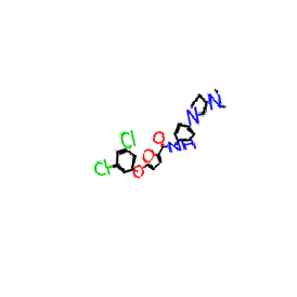 CN(C)C1CCN(c2ccc(NC(=O)c3ccc(Oc4cc(Cl)cc(Cl)c4)o3)cc2)C1